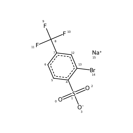 O=S(=O)([O-])c1ccc(C(F)(F)F)cc1Br.[Na+]